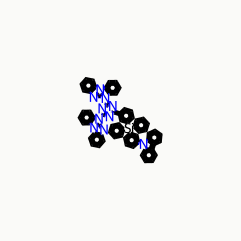 c1ccc([Si](c2ccccc2)(c2cccc(-c3nc(-n4c5ccccc5n5c6ccccc6nc45)nc(-n4c5ccccc5n5c6ccccc6nc45)n3)c2)c2cccc(-n3c4ccccc4c4ccccc43)c2)cc1